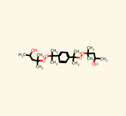 CC(O)CC(C)(C)OOC(C)(C)c1ccc(C(C)(C)OOC(C)(C)CC(C)O)cc1